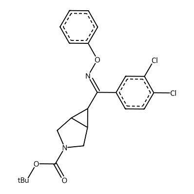 CC(C)(C)OC(=O)N1CC2C(C1)C2/C(=N/Oc1ccccc1)c1ccc(Cl)c(Cl)c1